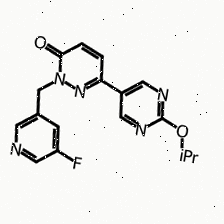 CC(C)Oc1ncc(-c2ccc(=O)n(Cc3cncc(F)c3)n2)cn1